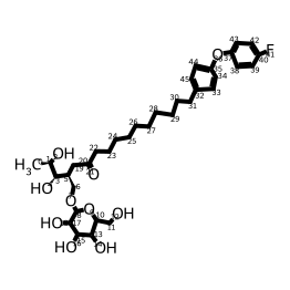 C[C@@H](O)[C@@H](O)[C@H](COC1OC(CO)C(O)C(O)C1O)CC(=O)CCCCCCCCCCc1ccc(Oc2ccc(F)cc2)cc1